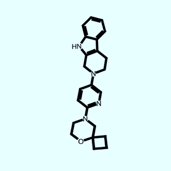 c1ccc2c3c([nH]c2c1)CN(c1ccc(N2CCOC4(CCC4)C2)nc1)CC3